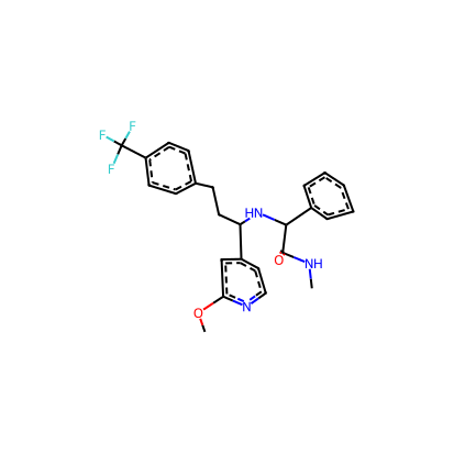 CNC(=O)C(NC(CCc1ccc(C(F)(F)F)cc1)c1ccnc(OC)c1)c1ccccc1